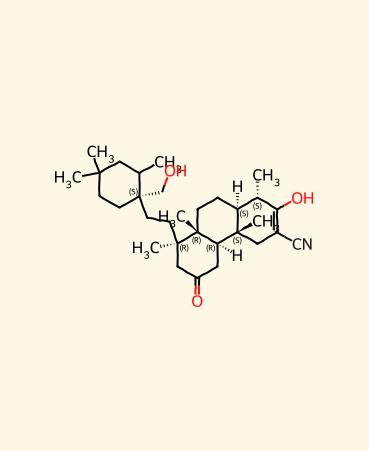 CC1CC(C)(C)CC[C@]1(CO)CC[C@]1(C)CC(=O)C[C@@H]2[C@@]3(C)CC(C#N)=C(O)[C@@H](C)[C@@H]3CC[C@]21C